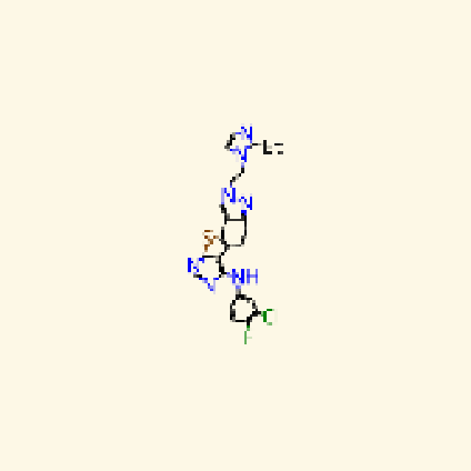 CCc1nccn1CCn1cc2c(n1)CCc1c-2sc2ncnc(Nc3ccc(F)c(Cl)c3)c12